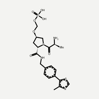 Cc1ncsc1-c1ccc(CNC(=O)[C@@H]2C[C@@H](OCOP(=O)(O)O)CN2C(=O)[C@@H](N)C(C)(C)C)cc1